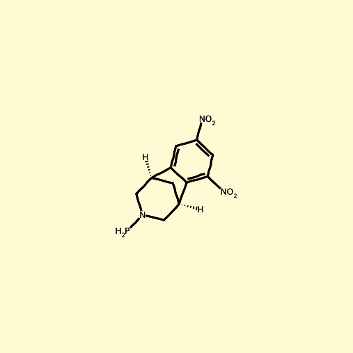 O=[N+]([O-])c1cc2c(c([N+](=O)[O-])c1)[C@@H]1C[C@H]2CN(P)C1